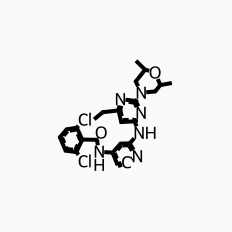 CCc1cc(Nc2cc(NC(=O)c3c(Cl)cccc3Cl)ccn2)nc(N2CC(C)OC(C)C2)n1